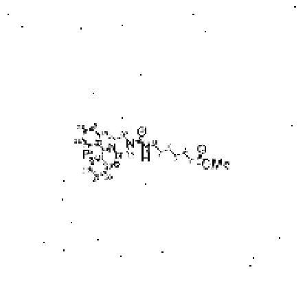 COC(=O)CCCCCCNC(=O)N1CCN(C(c2ccccc2F)c2ccccc2F)CC1